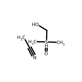 CC#N.C[SH](C)(=O)CO